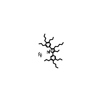 CCCCCC1=C(c2cc(CCC)c(CCCC)c(CCC)c2)[N+](=[N-])C(c2cc(CCC)c(CCCC)c(CCC)c2)=C1CC.[CH3][Ni][CH3]